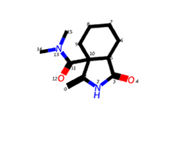 C=C1NC(=O)C2CCCCC12C(=O)N(C)C